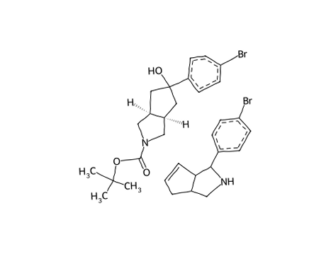 Brc1ccc(C2NCC3CC=CC32)cc1.CC(C)(C)OC(=O)N1C[C@@H]2CC(O)(c3ccc(Br)cc3)C[C@@H]2C1